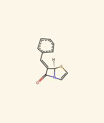 O=C1C(=Cc2ccccc2)[C@H]2SC=CN12